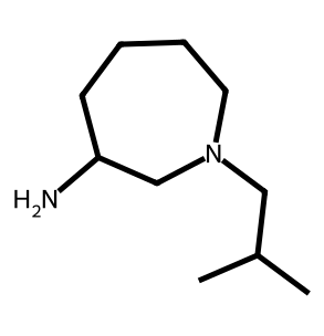 CC(C)CN1CCCCC(N)C1